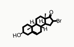 C[C@]12CC[C@H](O)CC1=CC[C@@H]1[C@@H]2CC[C@]2(C)C(=O)C(Br)C[C@@H]12